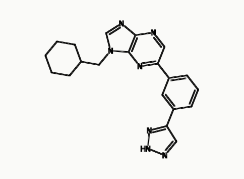 c1cc(-c2cn[nH]n2)cc(-c2cnc3ncn(CC4CCCCC4)c3n2)c1